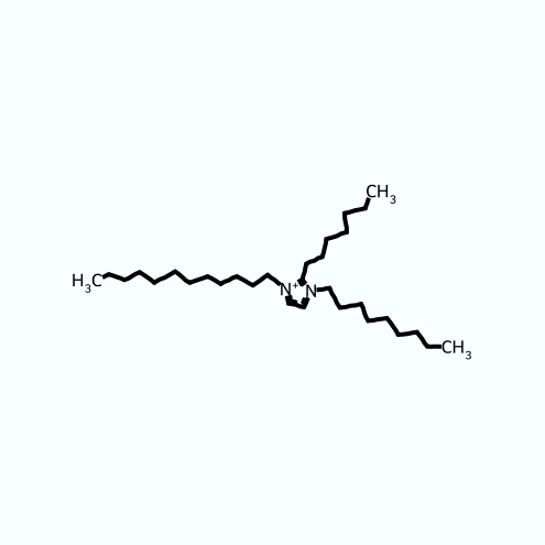 CCCCCCCCCCCC[n+]1ccn(CCCCCCCCC)c1CCCCCCC